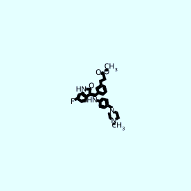 COC(=O)CCc1cccc(C(Nc2ccc(CN3CCN(C)CC3)cc2)=C2C(=O)Nc3cc(F)ccc32)c1